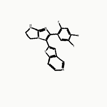 Fc1cc(F)c(-c2nc3n(c2-c2cc4cnccc4s2)CCN3)cc1F